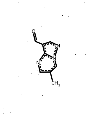 Cc1cnc2c(C=O)cnn2c1